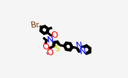 COC(=O)c1sc(-c2ccc(-c3cn4ccccc4n3)cc2)cc1N(C(=O)c1ccc(Br)cc1C)C(C)C